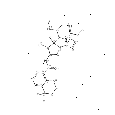 CCC(=N)NC(C(C)NC)C1(C)C(O)C(NC(=O)c2cccc3c2OCCC3(C)C)CN1C1C=CC1